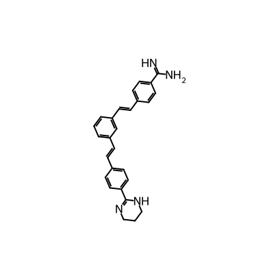 N=C(N)c1ccc(/C=C/c2cccc(/C=C/c3ccc(C4=NCCCN4)cc3)c2)cc1